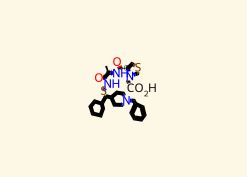 C[C@@H](NC(=O)[C@@H]1CSCN1CC(=O)O)C(=O)NSC(C1CCCCC1)C1CCN(Cc2ccccc2)CC1